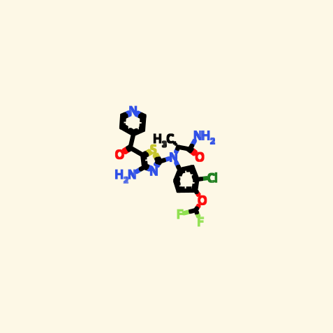 C[C@H](C(N)=O)N(c1ccc(OC(F)F)c(Cl)c1)c1nc(N)c(C(=O)c2ccncc2)s1